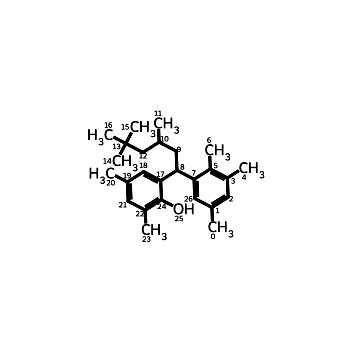 Cc1cc(C)c(C)c(C(CC(C)CC(C)(C)C)c2cc(C)cc(C)c2O)c1